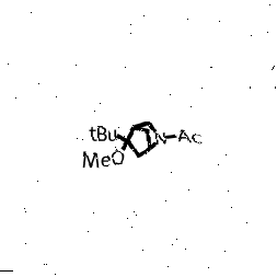 COC1(C(C)(C)C)CC2CC1CN2C(C)=O